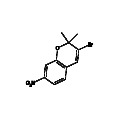 CC1(C)Oc2cc([N+](=O)[O-])ccc2C=C1Br